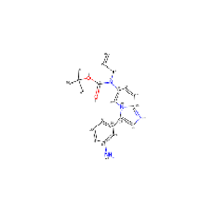 C=CCN(C(=O)OC(C)(C)C)c1ccc2ncc(-c3cccc(N)c3)n2c1